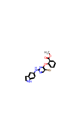 COC(=O)c1ccccc1Oc1nc(Nc2ccc3[nH]ccc3c2)ncc1Br